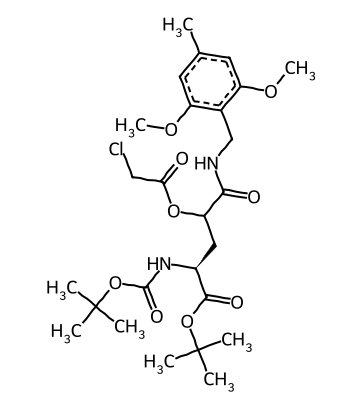 COc1cc(C)cc(OC)c1CNC(=O)C(C[C@H](NC(=O)OC(C)(C)C)C(=O)OC(C)(C)C)OC(=O)CCl